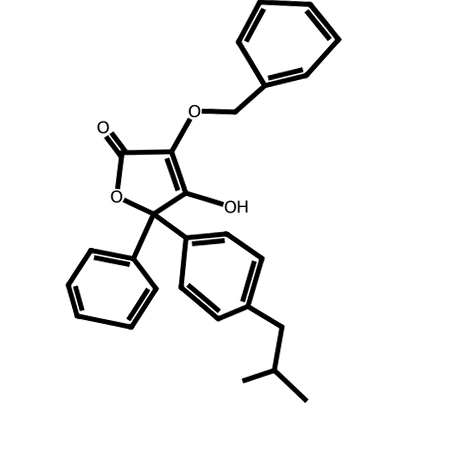 CC(C)Cc1ccc(C2(c3ccccc3)OC(=O)C(OCc3ccccc3)=C2O)cc1